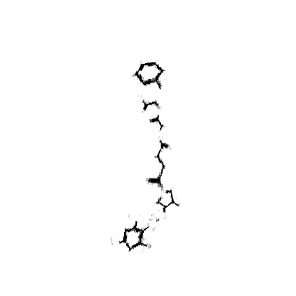 CC(C)c1cc(C(C)C)c(S(=O)(=O)NC2CN(C(=O)CCC(=O)NCC(=O)N[C@@H](Cc3ccccc3)C(N)=O)CC2F)c(C(C)C)c1